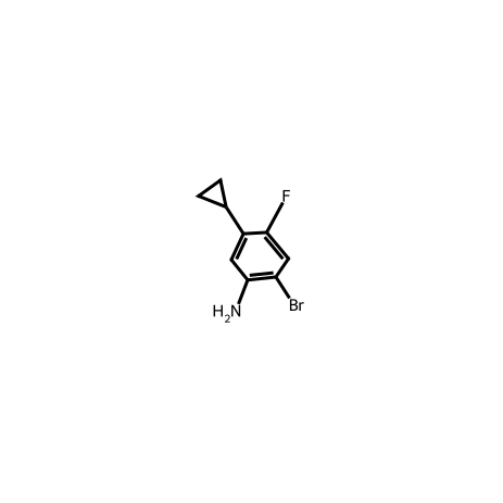 Nc1cc(C2CC2)c(F)cc1Br